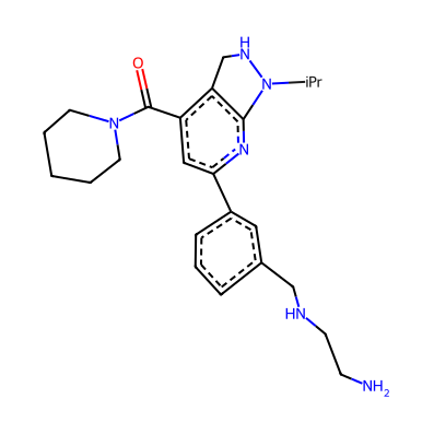 CC(C)N1NCc2c(C(=O)N3CCCCC3)cc(-c3cccc(CNCCN)c3)nc21